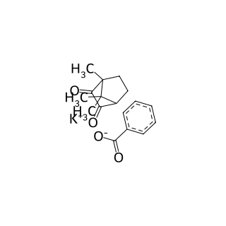 CC12CCC(C(=O)C1=O)C2(C)C.O=C([O-])c1ccccc1.[K+]